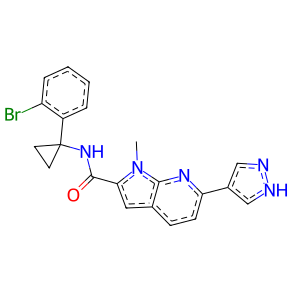 Cn1c(C(=O)NC2(c3ccccc3Br)CC2)cc2ccc(-c3cn[nH]c3)nc21